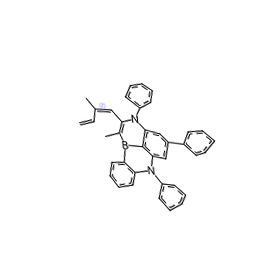 C=C/C(C)=C\C1=C(C)B2c3ccccc3N(c3ccccc3)c3cc(-c4ccccc4)cc(c32)N1c1ccccc1